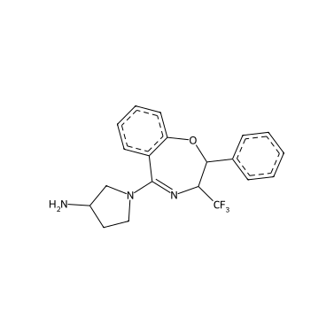 NC1CCN(C2=NC(C(F)(F)F)C(c3ccccc3)Oc3ccccc32)C1